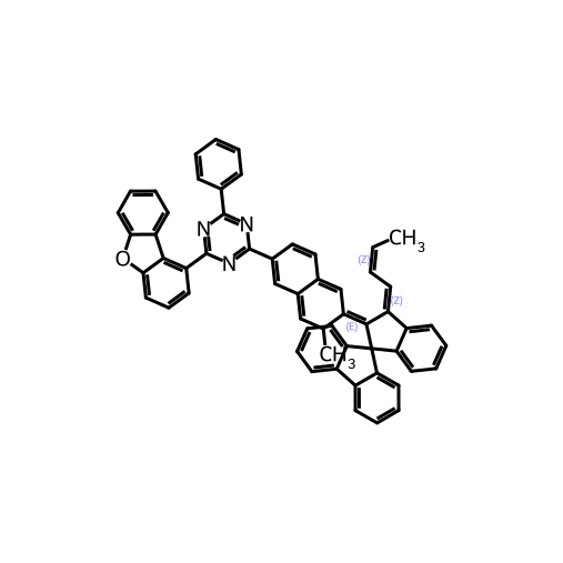 C\C=C/C=C1\C(=C2/C=c3ccc(-c4nc(-c5ccccc5)nc(-c5cccc6oc7ccccc7c56)n4)cc3=CC2C)C2(c3ccccc31)c1ccccc1-c1ccccc12